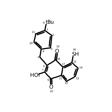 CC(C)(C)c1ccc(CC2=C(O)C(=O)c3cccc(S)c3C2=O)cc1